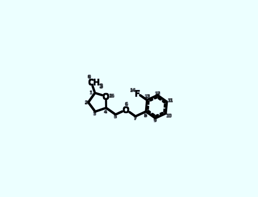 CC1CCC(COCc2ccccc2F)O1